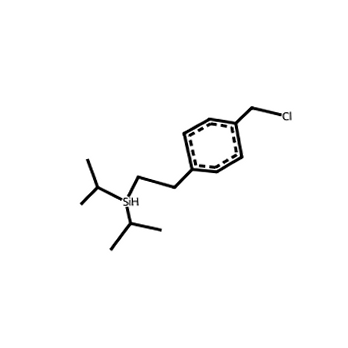 CC(C)[SiH](CCc1ccc(CCl)cc1)C(C)C